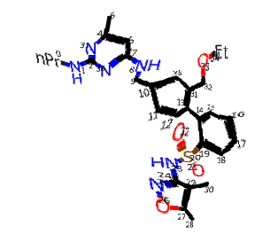 CCCNc1nc(C)cc(NCc2ccc(-c3ccccc3S(=O)(=O)Nc3noc(C)c3C)c(COCC)c2)n1